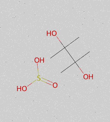 CC(C)(O)C(C)(C)O.O=S(O)O